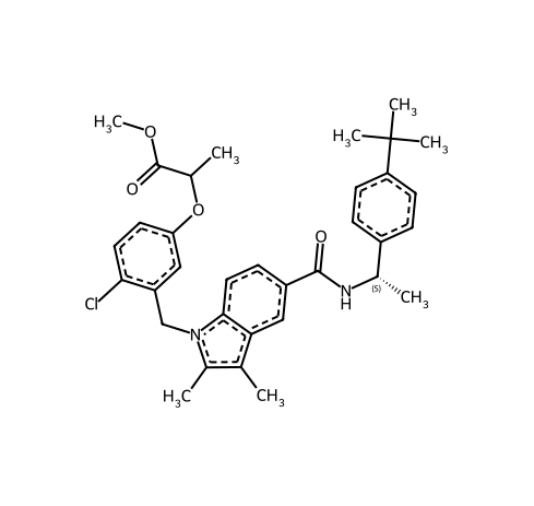 COC(=O)C(C)Oc1ccc(Cl)c(Cn2c(C)c(C)c3cc(C(=O)N[C@@H](C)c4ccc(C(C)(C)C)cc4)ccc32)c1